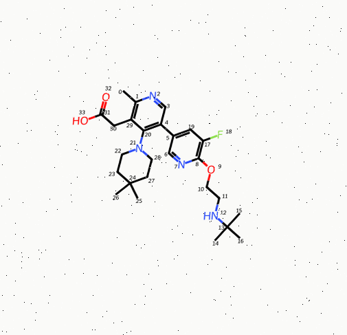 Cc1ncc(-c2cnc(OCCNC(C)(C)C)c(F)c2)c(N2CCC(C)(C)CC2)c1CC(=O)O